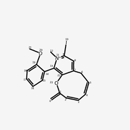 C=C1/C=C\C=C/Cc2cc(I)[n+](C)c(-c3ccccc3OC)c2O1